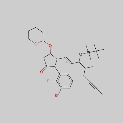 CC#CCC(C)C(/C=C/C1C(OC2CCCCO2)CC(=O)C1c1cccc(Br)c1F)O[Si](C)(C)C(C)(C)C